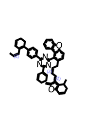 C=c1oc2c(/c1=C/C=C\Cc1ccc3oc4ccccc4c3c1-c1nc(C3=CCCC=C3)nc(-c3ccc(C4=C(/C=C\C)C=CCC4)cc3)n1)C(C)CC=C2